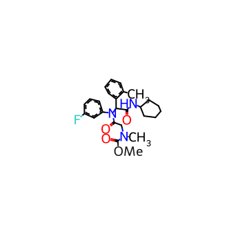 COC(=O)N(C)CC(=O)N(c1cccc(F)c1)C(C(=O)NC1CCCCC1)c1ccccc1C